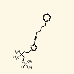 CC(N)(CCc1ccc(C#CCCCCc2ccccc2)s1)COP(=O)(O)O